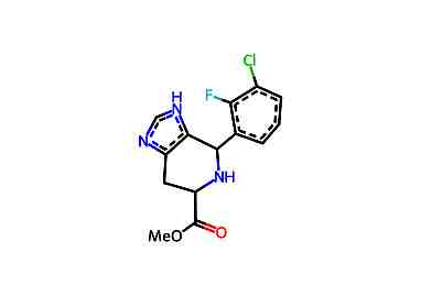 COC(=O)C1Cc2nc[nH]c2C(c2cccc(Cl)c2F)N1